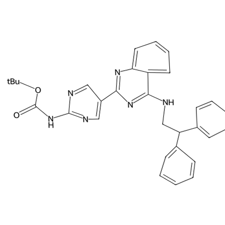 CC(C)(C)OC(=O)Nc1ncc(-c2nc(NCC(c3ccccc3)c3ccccc3)c3ccccc3n2)cn1